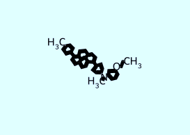 CCCOc1cccc(N(C)c2ccc(-c3ccc4ccc5c(-c6ccc(C)cc6)ccc6ccc3c4c65)cc2)c1